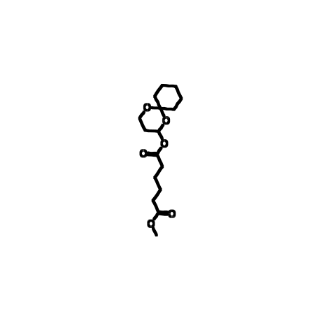 COC(=O)CCCCC(=O)OC1CCOC2(CCCCC2)O1